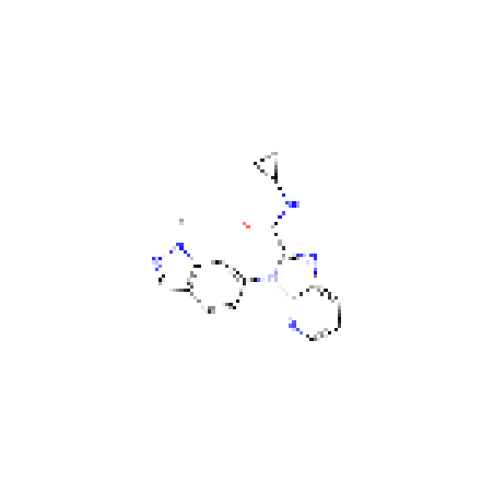 Cn1ncc2ccc(-n3c(C(=O)NC4CC4)nc4cccnc43)cc21